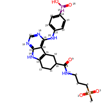 CS(=O)(=O)CCCNC(=O)C1CCc2[nH]c3ncnc(Nc4ccc([PH](=O)O)cc4)c3c2C1